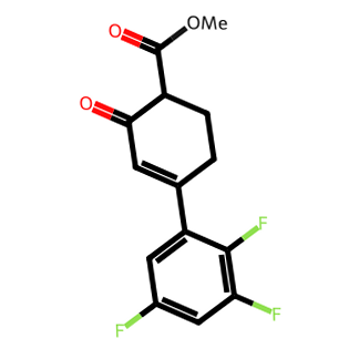 COC(=O)C1CCC(c2cc(F)cc(F)c2F)=CC1=O